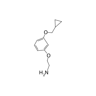 NCCOc1cccc(OCC2CC2)c1